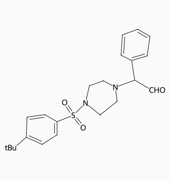 CC(C)(C)c1ccc(S(=O)(=O)N2CCN(C(C=O)c3ccccc3)CC2)cc1